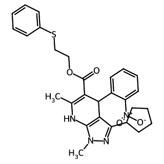 CC1=C(C(=O)OCCSc2ccccc2)C(c2ccccc2[N+](=O)[O-])c2c(C3CCCC3)nn(C)c2N1